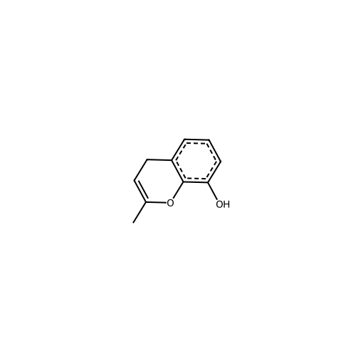 CC1=CCc2cccc(O)c2O1